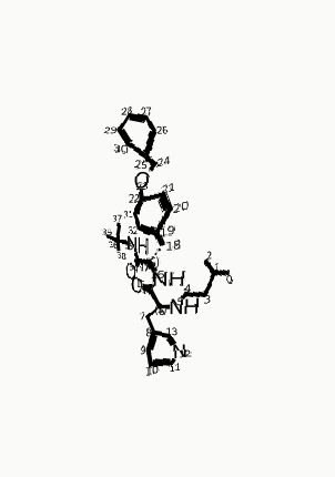 CC(C)CCN[C@@H](Cc1cccnc1)C(=O)N[C@@H](Cc1ccc(OCc2ccccc2)cc1)C(=O)NC(C)(C)C